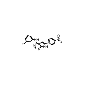 O=[N+]([O-])c1ccc(-c2cc3c(Nc4cccc(Cl)c4)ncnc3[nH]2)cc1